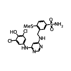 CSc1ccc(S(N)(=O)=O)cc1CNc1cc(Nc2cc(Cl)c(O)c(Cl)c2)ncn1